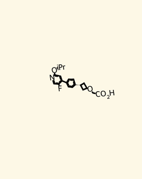 CC(C)Oc1cc(-c2ccc([C@H]3C[C@@H](OCC(=O)O)C3)cc2)c(F)cn1